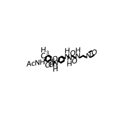 CC(=O)Nc1c(C)ccc(S(=O)(=O)Nc2ccc(NNC(=O)C(=O)NCCCN3CCOCC3)cc2)c1C